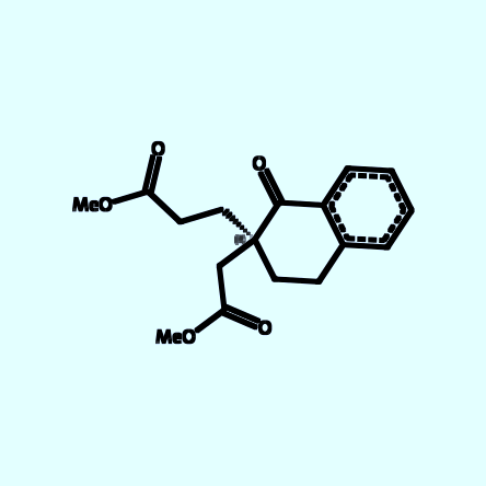 COC(=O)CC[C@@]1(CC(=O)OC)CCc2ccccc2C1=O